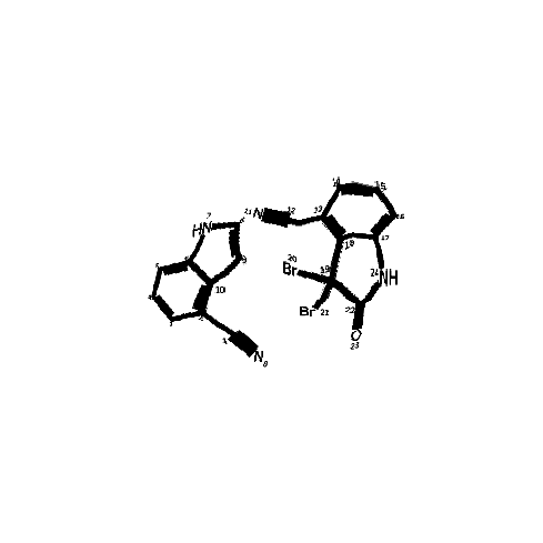 N#Cc1cccc2[nH]ccc12.N#Cc1cccc2c1C(Br)(Br)C(=O)N2